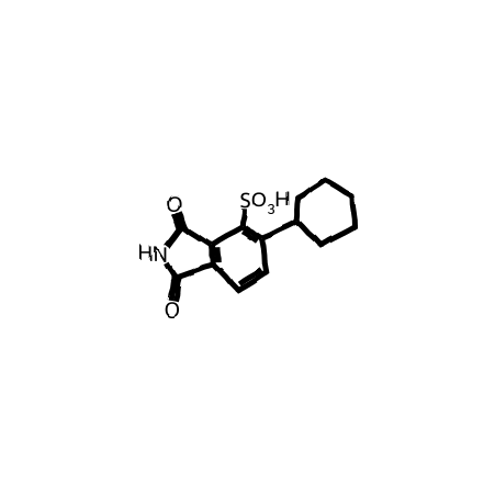 O=C1NC(=O)c2c1ccc(C1CCCCC1)c2S(=O)(=O)O